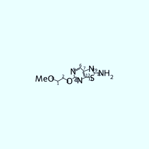 COCCOc1ncc2nc(N)sc2n1